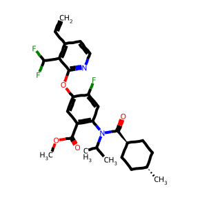 C=Cc1ccnc(Oc2cc(C(=O)OC)c(N(C(=O)[C@H]3CC[C@H](C)CC3)C(C)C)cc2F)c1C(F)F